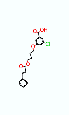 O=C(C=Cc1ccccc1)OCCCCOc1cc(Cl)cc(C(=O)O)c1